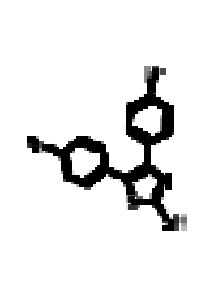 Sc1nc(-c2ccc(Br)cc2)c(-c2ccc(Br)cc2)s1